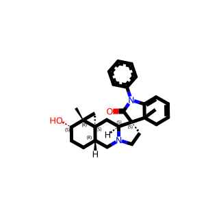 CC12CC=CC=C1N(c1ccccc1)C(=O)[C@@]21CCN2C[C@@H]3CC[C@H](O)[C@]4(C)C[C@]34C[C@H]21